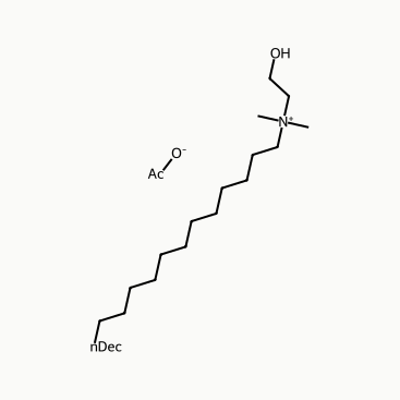 CC(=O)[O-].CCCCCCCCCCCCCCCCCCCCCC[N+](C)(C)CCO